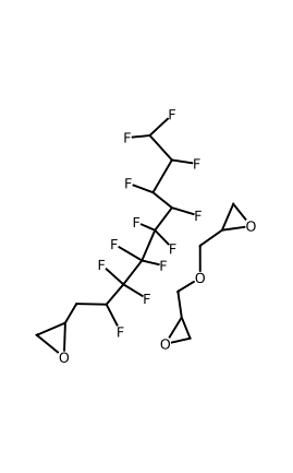 C(OCC1CO1)C1CO1.FC(F)C(F)C(F)C(F)C(F)(F)C(F)(F)C(F)(F)C(F)CC1CO1